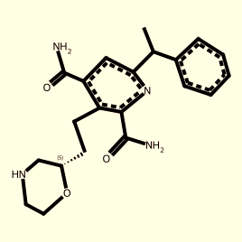 CC(c1ccccc1)c1cc(C(N)=O)c(CC[C@H]2CNCCO2)c(C(N)=O)n1